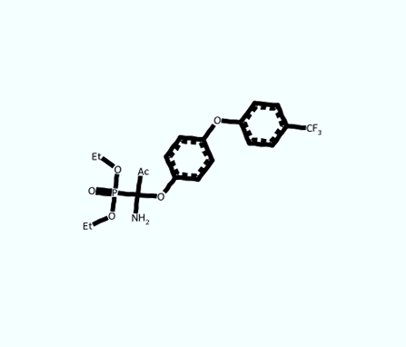 CCOP(=O)(OCC)C(N)(Oc1ccc(Oc2ccc(C(F)(F)F)cc2)cc1)C(C)=O